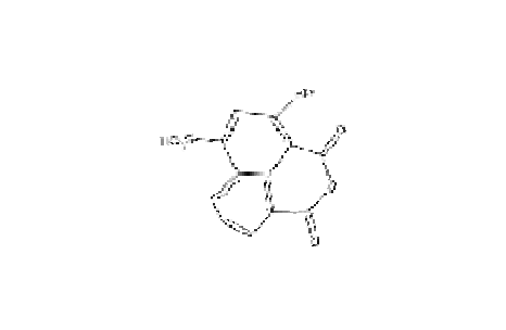 CCCc1cc(S(=O)(=O)O)c2cccc3c2c1C(=O)OC3=O